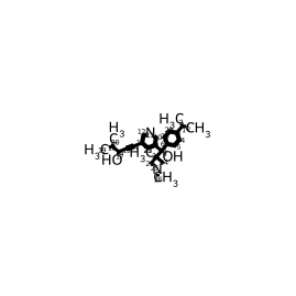 CC(C)c1ccc([C@](O)(c2cncc(C#CC(O)C(C)C)c2)C2(C)CN(C)C2)cc1